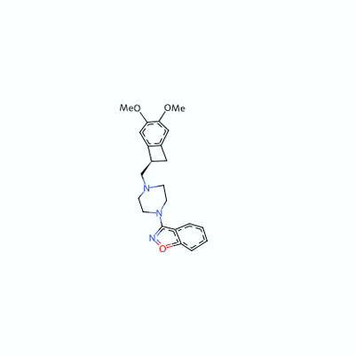 COc1cc2c(cc1OC)[C@H](CN1CCN(c3noc4ccccc34)CC1)C2